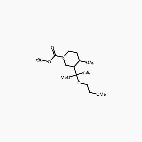 CCCCC(OC)(OCCOC)C1CN(C(=O)OC(C)(C)C)CCC1OC(C)=O